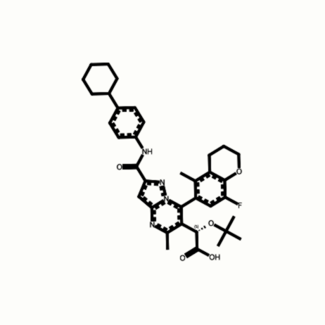 Cc1nc2cc(C(=O)Nc3ccc(C4CCCCC4)cc3)nn2c(-c2cc(F)c3c(c2C)CCCO3)c1[C@H](OC(C)(C)C)C(=O)O